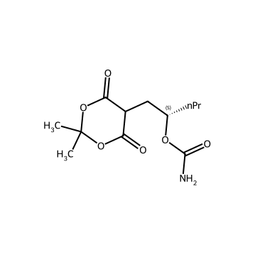 CCC[C@@H](CC1C(=O)OC(C)(C)OC1=O)OC(N)=O